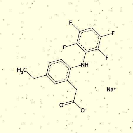 CCc1ccc(Nc2c(F)c(F)cc(F)c2F)c(CC(=O)[O-])c1.[Na+]